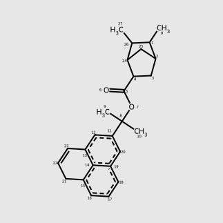 CC1C2CC(C(=O)OC(C)(C)c3cc4c5c(cccc5c3)CC=C4)C(C2)C1C